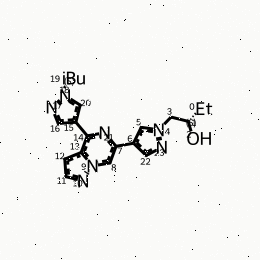 CC[C@H](O)Cn1cc(-c2cn3nccc3c(-c3cnn([C@@H](C)CC)c3)n2)cn1